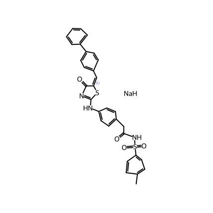 Cc1ccc(S(=O)(=O)NC(=O)Cc2ccc(NC3=NC(=O)/C(=C\c4ccc(-c5ccccc5)cc4)S3)cc2)cc1.[NaH]